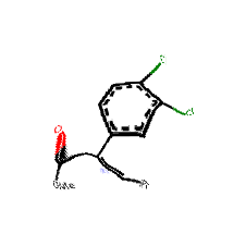 COC(=O)/C(=C/C(C)C)c1ccc(Cl)c(Cl)c1